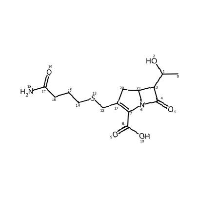 CC(O)C1C(=O)N2C(C(=O)O)=C(CSCCCC(N)=O)CC12